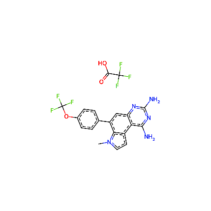 Cn1ccc2c3c(N)nc(N)nc3cc(-c3ccc(OC(F)(F)F)cc3)c21.O=C(O)C(F)(F)F